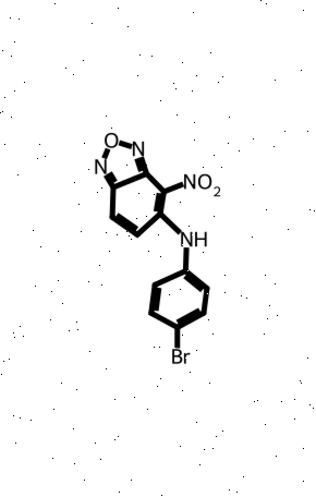 O=[N+]([O-])c1c(Nc2ccc(Br)cc2)ccc2nonc12